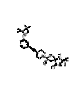 CC1(C)CN(c2cccc(C#CC3=CCN(S(=O)(=O)CC4(C)NC(=O)NC4=O)CC3)c2)C1=O